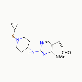 CNc1nc(NC2CCN(SC3CC3)CC2)ncc1/C=C\C=O